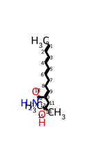 CC=CC=CC=CCCC=C(CC(C)(C)O)C(N)=O